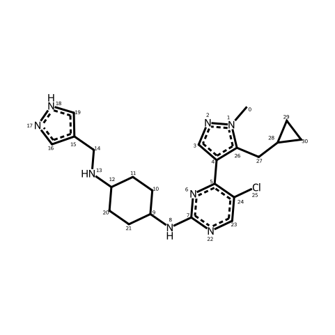 Cn1ncc(-c2nc(NC3CCC(NCc4cn[nH]c4)CC3)ncc2Cl)c1CC1CC1